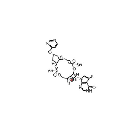 O=c1[nH]cnc2c1c(F)cn2[C@@H]1O[C@@H]2CO[P@](=O)(S)O[C@H]3C[C@H](Oc4ccncn4)C[C@@H]3CO[P@](=O)(S)O[C@@H]1[C@@H]2O